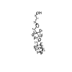 OCCCOCC(F)(F)C(F)(F)OCC(F)(F)C(F)(F)C(F)(F)F